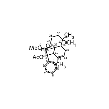 COC(=O)[C@](OC(C)=O)(c1ccccc1)C1C(C)=CCC2C(C)(C)CCCC21C